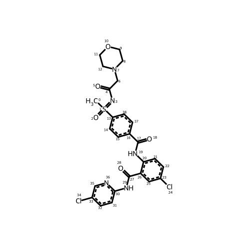 CS(=O)(=NC(=O)CN1CCOCC1)c1ccc(C(=O)Nc2ccc(Cl)cc2C(=O)Nc2ccc(Cl)cn2)cc1